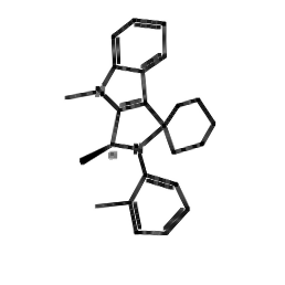 Cc1ccccc1N1[C@@H](C)c2c(c3ccccc3n2C)C12CCCCC2